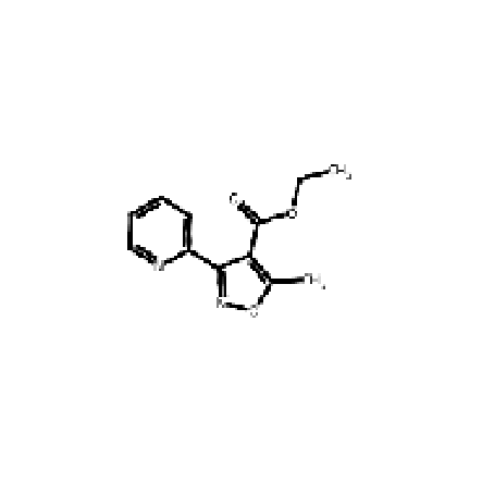 CCOC(=O)c1c(-c2ccccn2)noc1C